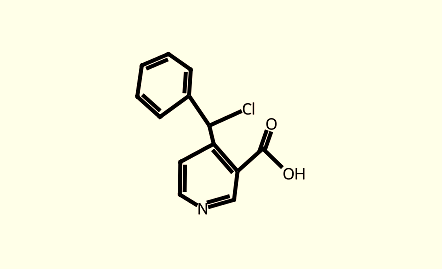 O=C(O)c1cnccc1C(Cl)c1ccccc1